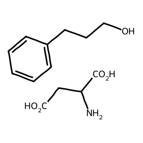 NC(CC(=O)O)C(=O)O.OCCCc1ccccc1